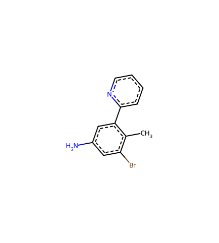 Cc1c(Br)cc(N)cc1-c1ccccn1